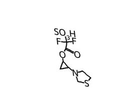 O=C(OC1CC1N1CCSC1)C(F)(F)S(=O)(=O)O